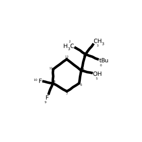 CC(C)(C)C(C)(C)C1(O)CCC(F)(F)CC1